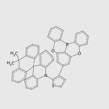 CC1(C)c2ccccc2C2(c3ccccc3N(c3sccc3-c3cc4c5c(c3)Oc3ccccc3B5c3ccccc3O4)c3ccccc32)c2ccccc21